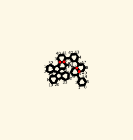 c1ccc(-c2ccc(N(c3ccc4c(c3)C3(c5ccccc5-c5ccccc53)c3ccccc3-4)c3c(-c4ccccc4)cccc3-c3ccccc3)cc2)cc1